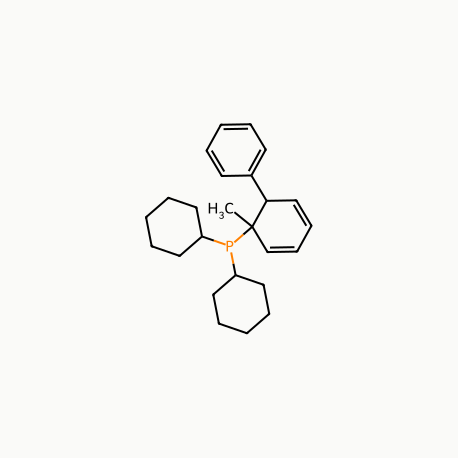 CC1(P(C2CCCCC2)C2CCCCC2)C=CC=CC1c1ccccc1